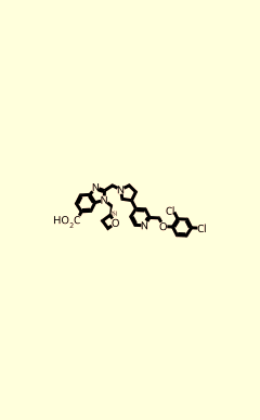 O=C(O)c1ccc2nc(CN3CCC(c4ccnc(COc5ccc(Cl)cc5Cl)c4)C3)n(C[C@@H]3CCO3)c2c1